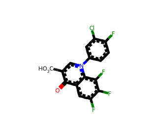 O=C(O)c1cn(-c2ccc(F)c(Cl)c2)c2c(F)c(F)c(F)cc2c1=O